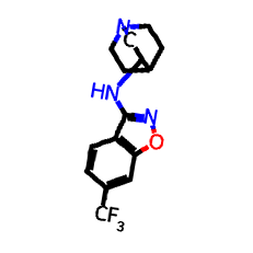 FC(F)(F)c1ccc2c(NC3CN4CCC3CC4)noc2c1